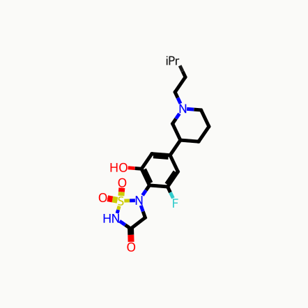 CC(C)CCN1CCCC(c2cc(O)c(N3CC(=O)NS3(=O)=O)c(F)c2)C1